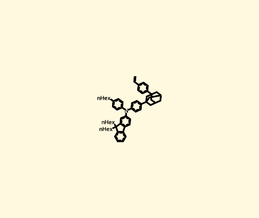 C=Cc1ccc(C23CC4CC(C2)CC(c2ccc(N(c5ccc(CCCCCC)cc5)c5ccc6c(c5)C(CCCCCC)(CCCCCC)c5ccccc5-6)cc2)(C4)C3)cc1